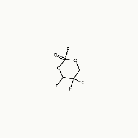 O=P1(F)OCC(F)(F)C(F)O1